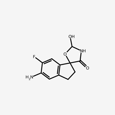 Nc1cc2c(cc1F)C1(CC2)OC(O)NC1=O